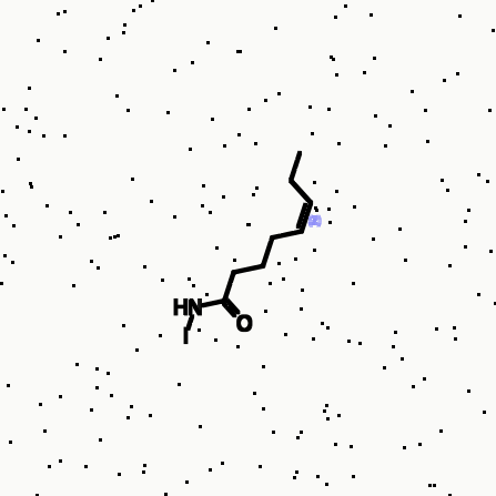 CC/C=C\CCCC(=O)NI